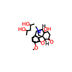 CC(O)CC(C)O.COc1ccc2c3c1O[C@H]1C(=O)CC[C@@]4(O)[C@@H](C2)N(C)CC[C@]314